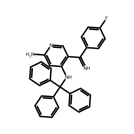 N=C(c1ccc(F)cc1)c1cnc(N)cc1NC(c1ccccc1)(c1ccccc1)c1ccccc1